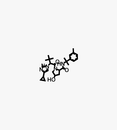 Cc1cccc(C(C)(C)NC(=O)C2CC(O)CN2C(=O)C(n2cc(C3CC3)nn2)C(C)(C)C)c1